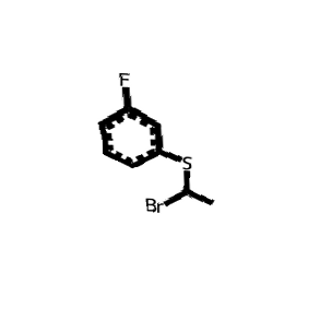 CC(Br)Sc1cccc(F)c1